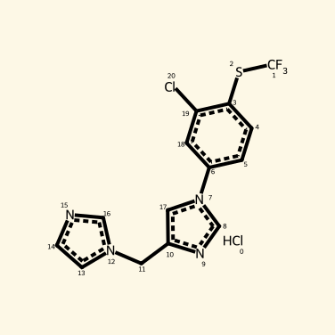 Cl.FC(F)(F)Sc1ccc(-n2cnc(Cn3ccnc3)c2)cc1Cl